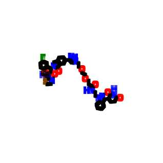 O=C(CCOCCOCCn1cc(-c2ccc3c(c2)C(=O)N(C(C(=O)Nc2nccs2)c2cc(F)ccc2O)C3)nn1)NCCn1nc(C2CCC(=O)NC2=O)c2ccccc21